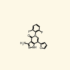 Nc1n[nH]c2c(-c3ccco3)cn(-c3c(F)cccc3F)c(=O)c12